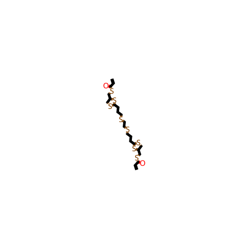 C=CC(=O)SCC1CSC(CCCSCCSCCCC2SCC(CSC(=O)C=C)S2)S1